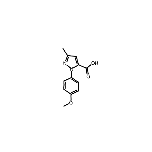 COc1ccc(-n2nc(C)cc2C(=O)O)cc1